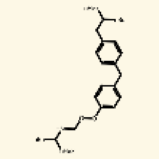 CCCCCCC(CCCC)Cc1ccc(Cc2ccc(OOCNC(CCCC)CCCCCC)cc2)cc1